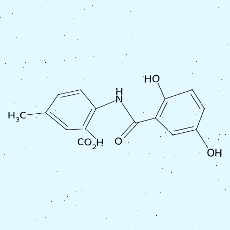 Cc1ccc(NC(=O)c2cc(O)ccc2O)c(C(=O)O)c1